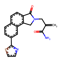 C=C(CN1Cc2c(ccc3ccc(-c4nccs4)cc23)C1=O)C(N)=O